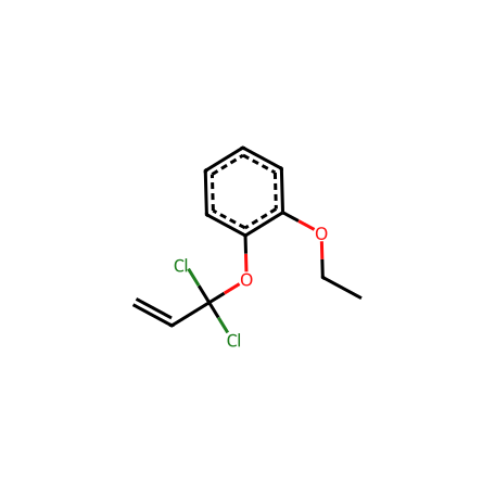 C=CC(Cl)(Cl)Oc1ccccc1OCC